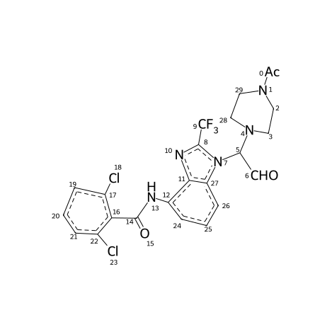 CC(=O)N1CCN(C(C=O)n2c(C(F)(F)F)nc3c(NC(=O)c4c(Cl)cccc4Cl)cccc32)CC1